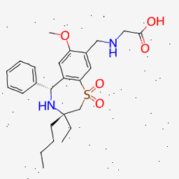 CCCC[C@]1(CC)CS(=O)(=O)c2cc(CNCC(=O)O)c(OC)cc2[C@@H](c2ccccc2)N1